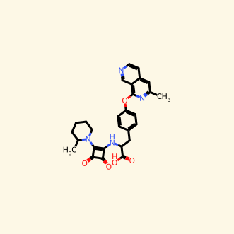 Cc1cc2ccncc2c(Oc2ccc(CC(Nc3c(N4CCCCC4C)c(=O)c3=O)C(=O)O)cc2)n1